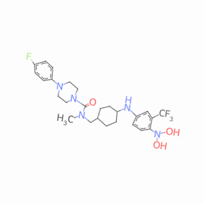 CN(CC1CCC(Nc2ccc(N(O)O)c(C(F)(F)F)c2)CC1)C(=O)N1CCN(c2ccc(F)cc2)CC1